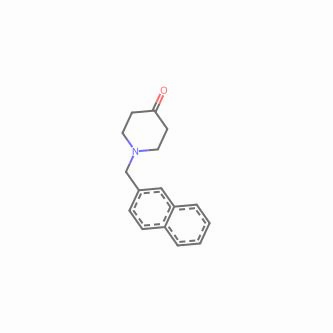 O=C1CCN(Cc2ccc3ccccc3c2)CC1